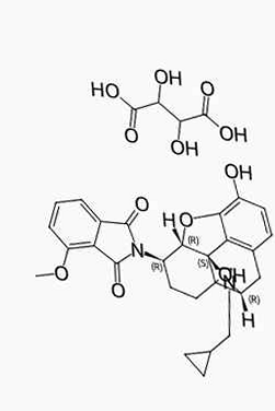 COc1cccc2c1C(=O)N([C@@H]1CCC3(O)[C@H]4Cc5ccc(O)c6c5[C@@]3(CCN4CC3CC3)[C@H]1O6)C2=O.O=C(O)C(O)C(O)C(=O)O